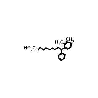 Cc1cccc(C(CCCCCCCOC(=O)O)c2ccccc2)c1C